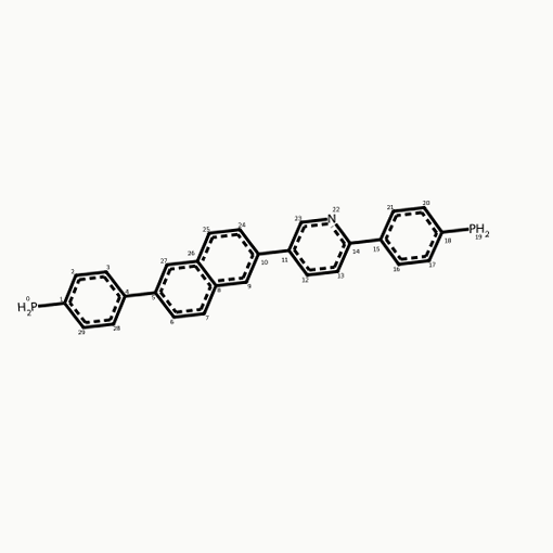 Pc1ccc(-c2ccc3cc(-c4ccc(-c5ccc(P)cc5)nc4)ccc3c2)cc1